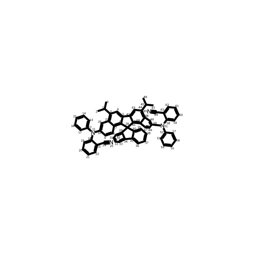 CC(C)c1cc2c(c3ccc(N(c4ccccc4)c4ccccc4C#N)cc13)C1(c3ccccc3-c3ccccc31)c1c-2cc(C(C)C)c2cc(N(c3ccccc3)c3ccccc3C#N)ccc12